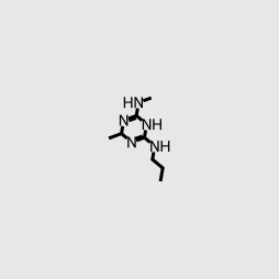 CCCNC1=NC(C)N=C(NC)N1